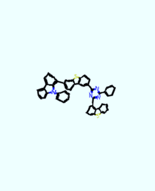 c1ccc(-c2nc(-c3ccc4sc5cc(-c6cccc7c8ccccc8n(-c8ccccc8)c67)ccc5c4c3)nc(-c3cccc4sc5ccccc5c34)n2)cc1